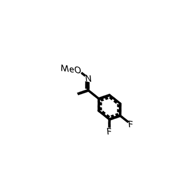 CO/N=C(\C)c1ccc(F)c(F)c1